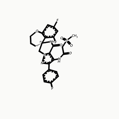 CS(=O)(=O)CC(=O)Nc1c(-c2ccc(F)cc2)nn2c1C(=O)N[C@@]1(CCCOc3cc(F)cc(F)c31)C2